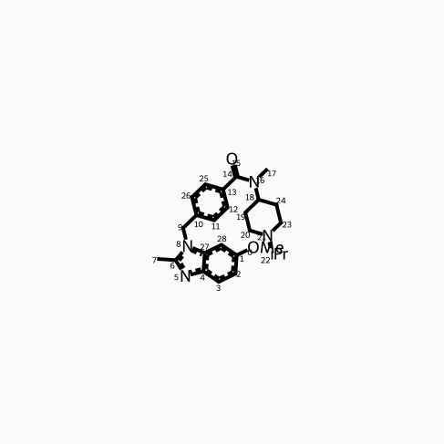 COc1ccc2nc(C)n(Cc3ccc(C(=O)N(C)C4CCN(C(C)C)CC4)cc3)c2c1